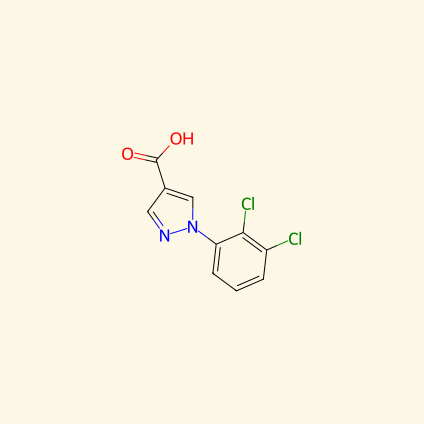 O=C(O)c1cnn(-c2cccc(Cl)c2Cl)c1